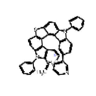 C=Cc1c(/C=C\C)c2c3c(ccc2n1-c1ccccc1)sc1ccc2c(c4cc(-c5cccnc5)ccc4n2-c2ccccc2)c13